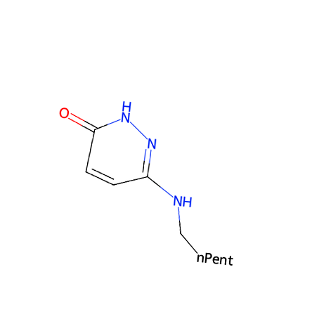 CCCCCCNc1ccc(=O)[nH]n1